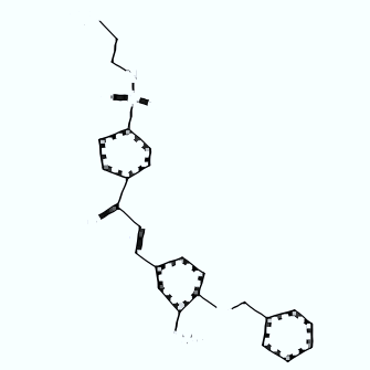 COc1cc(/C=C/C(=O)c2ccc(S(=O)(=O)NCCC(=O)O)cc2)ccc1OCc1ccccc1